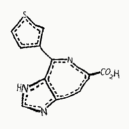 O=C(O)c1cc2nc[nH]c2c(-c2ccsc2)n1